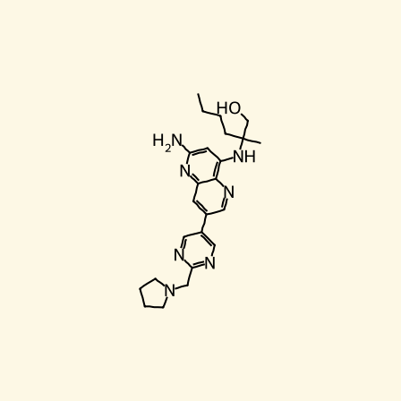 CCCCC(C)(CO)Nc1cc(N)nc2cc(-c3cnc(CN4CCCC4)nc3)cnc12